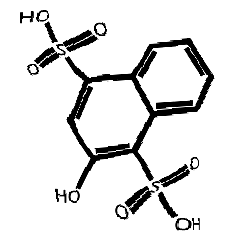 O=S(=O)(O)c1cc(O)c(S(=O)(=O)O)c2ccccc12